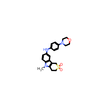 Cn1c2c(c3cc(Nc4ccc(N5CCOCC5)cc4)ccc31)CS(=O)(=O)CC2